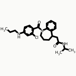 CCCNc1ccc(C(=O)N2CCCC(CC(=O)NC(C)C)c3ccccc32)c(Cl)c1